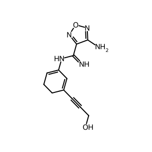 N=C(NC1=CCCC(C#CCO)=C1)c1nonc1N